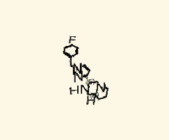 Fc1ccc(Cn2ccc([C@@H]3CN4CCC[C@@H]4CN3)n2)cc1